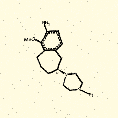 [CH2][CH]N1CCN([C@H]2CCCc3c(ccc(N)c3OC)C2)CC1